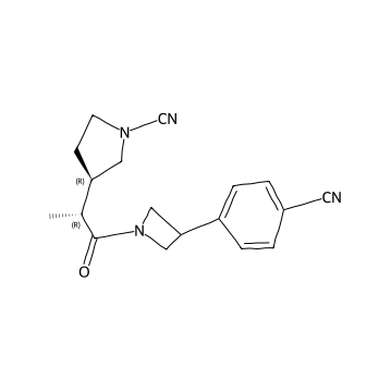 C[C@@H](C(=O)N1CC(c2ccc(C#N)cc2)C1)[C@H]1CCN(C#N)C1